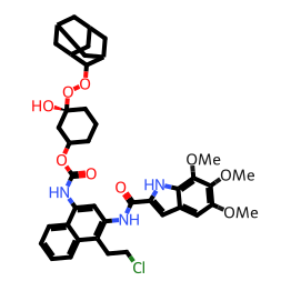 COc1cc2cc(C(=O)Nc3cc(NC(=O)OC4CCC[C@@](O)(OOC5C6CC7CC(C6)CC5C7)C4)c4ccccc4c3CCCl)[nH]c2c(OC)c1OC